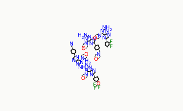 N#Cc1ccc(-c2cnc3nc(N)nc(N4CCOCC4)c3n2)cc1.Nc1nc(N2CCOCC2)c2nc(-c3ccc(CN4CCOCC4)cc3)cnc2n1.Nc1nc(N2CCOCC2)c2nc(-c3ccc(OC(F)(F)F)cc3)cnc2n1.Nc1nc(N2CCOCC2)c2nc(-c3cccc(F)c3F)cnc2n1